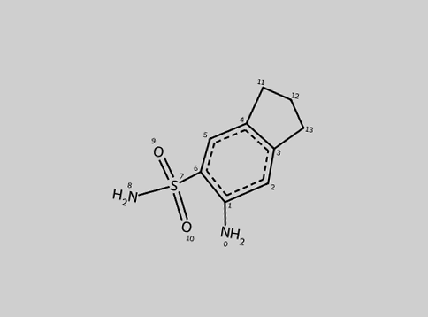 Nc1cc2c(cc1S(N)(=O)=O)CCC2